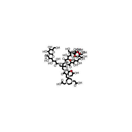 O=C(O)CN1CCN(CC(=O)O)CC(CCC(=O)NCC(CNC(=O)C(O)C(O)C(OC2OC(CO)C(O)C(O)C2O)C(O)CO)(CNC(=O)C(O)C(O)C(OC2OC(CO)C(O)C(O)C2O)C(O)CO)CNC(=O)C(O)C(O)C(OC2OC(CO)C(O)C(O)C2O)C(O)CO)(N(CC(=O)O)CC(=O)O)C1